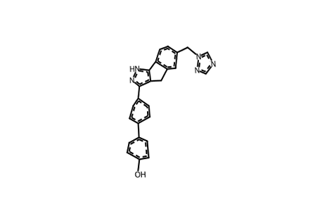 Oc1ccc(-c2ccc(-c3n[nH]c4c3Cc3cc(Cn5cncn5)ccc3-4)cc2)cc1